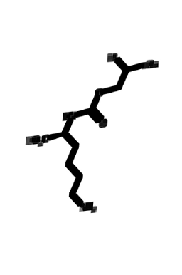 CCCCC(CC)COC(=O)N[C@@H](CCCCN)C(=O)O